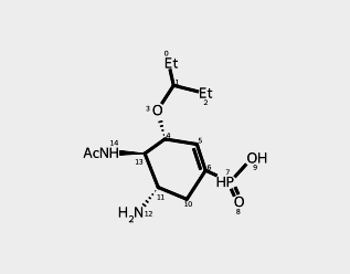 CCC(CC)O[C@@H]1C=C([PH](=O)O)C[C@H](N)[C@H]1NC(C)=O